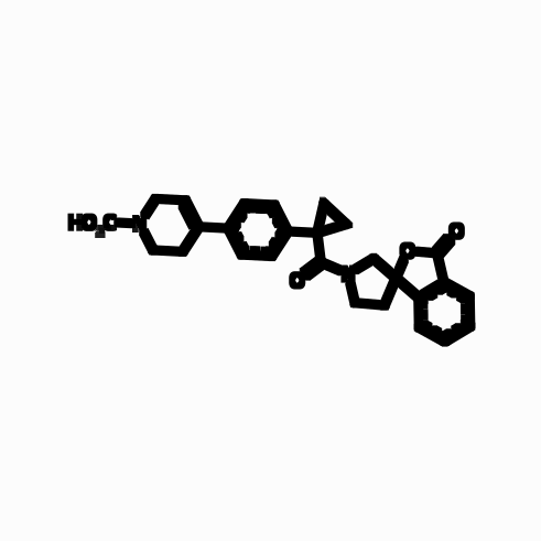 O=C1OC2(CCN(C(=O)C3(c4ccc(C5=CCN(C(=O)O)CC5)cc4)CC3)C2)c2ccccc21